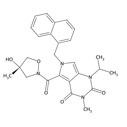 CC(C)n1c(=O)n(C)c(=O)c2c(C(=O)N3C[C@](C)(O)CO3)n(Cc3cccc4ccccc34)cc21